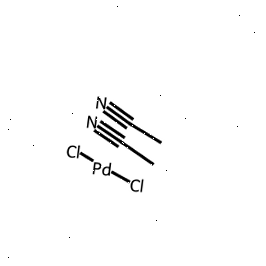 CC#N.CC#N.[Cl][Pd][Cl]